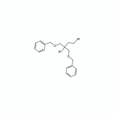 CC(C)CCC(COCc1ccccc1)(COCc1ccccc1)C(C)C